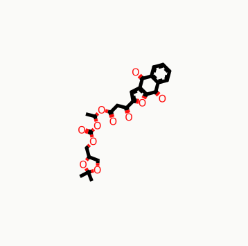 CC(OC(=O)CC(=O)c1cc2c(o1)C(=O)c1ccccc1C2=O)OC(=O)OCC1COC(C)(C)O1